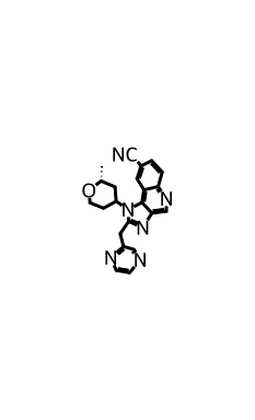 C[C@@H]1CC(n2c(Cc3cnccn3)nc3cnc4ccc(C#N)cc4c32)CCO1